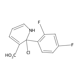 O=C(O)C1=CC=CNC1(Cl)c1ccc(F)cc1F